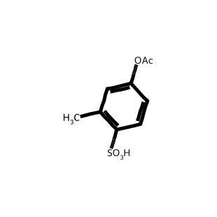 CC(=O)Oc1ccc(S(=O)(=O)O)c(C)c1